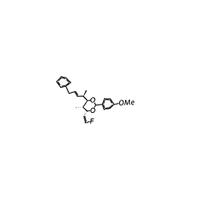 COc1ccc(C2O[C@H]([C@H](C)/C=C/Cc3ccccc3)[C@@H](C)[C@@H](/C=C\F)O2)cc1